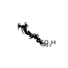 CC(C)(C)N(C(=O)O)c1ccc(C2CC(c3csc(C4CCN(C(=O)Cn5nc(C(F)F)cc5C(F)F)CC4)n3)=NO2)cc1